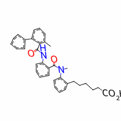 Cc1cccc(-c2ccccc2)c1C(=O)Nc1ccccc1C(=O)N(C)c1ccccc1CCCCCC(=O)O